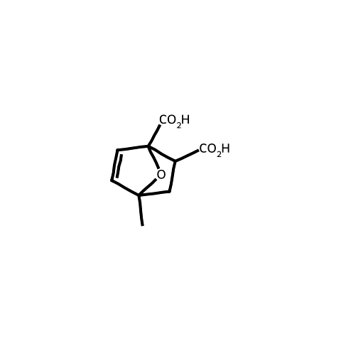 CC12C=CC(C(=O)O)(O1)C(C(=O)O)C2